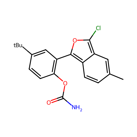 Cc1ccc2c(-c3cc(C(C)(C)C)ccc3OC(N)=O)oc(Cl)c2c1